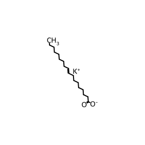 CCCCCCCC/C=C/CCCCCCCC(=O)[O-].[K+]